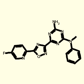 CN(c1ccccc1)c1nc(N)nc(-c2noc(-c3ccc(F)cn3)n2)n1